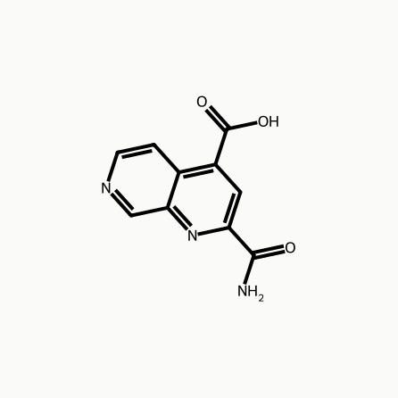 NC(=O)c1cc(C(=O)O)c2ccncc2n1